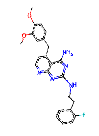 COc1ccc(Cc2ccnc3nc(NCCc4ccccc4F)nc(N)c23)cc1OC